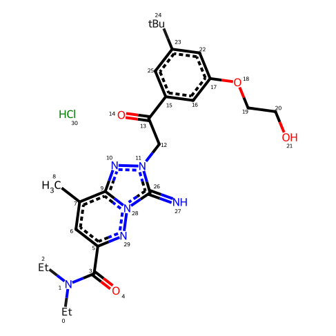 CCN(CC)C(=O)c1cc(C)c2nn(CC(=O)c3cc(OCCO)cc(C(C)(C)C)c3)c(=N)n2n1.Cl